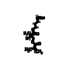 C=C(C)C(=O)OCC(C)(Br)C(=O)OCCCCCCCCCCCC